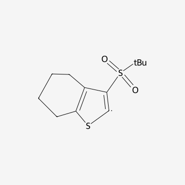 CC(C)(C)S(=O)(=O)c1[c]sc2c1CCCC2